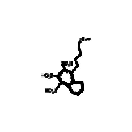 CCCCCCCCCCCCCCc1c(S(=O)(=O)O)c(S(=O)(=O)O)c(S(=O)(=O)O)c2ccccc12